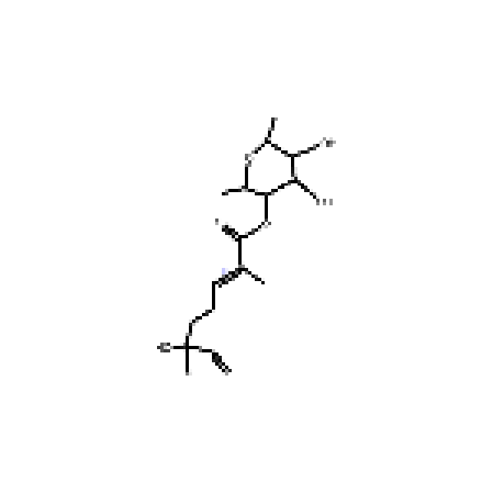 C=CC(C)(O)CC/C=C(\C)C(=O)OC1C(C)OC(C)C(O)C1O